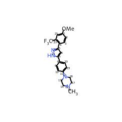 COc1ccc(-c2cc(-c3ccc(N4CCN(C)CC4)cc3)[nH]n2)c(C(F)(F)F)c1